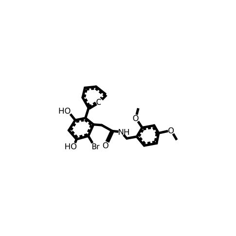 COc1ccc(CNC(=O)Cc2c(Br)c(O)cc(O)c2-c2ccccc2)c(OC)c1